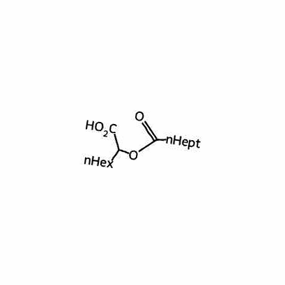 CCCCCCCC(=O)OC(CCCCCC)C(=O)O